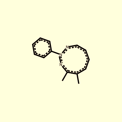 Cc1ccccnn(-c2ccccc2)nc1C